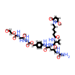 CC(C)[C@H](NC(=O)CCCCCN1C(=O)C=CC1=O)C(=O)N[C@@H](CCCNC(N)=O)C(=O)Nc1ccc(COC(=O)NNC(=O)CNC(=O)OCC=O)cc1